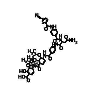 CC(C)Oc1c(NC(=O)c2ccc(NC(=O)c3ccc(NC(=O)C(CC(N)=O)NC(=O)c4ccc(NC(=O)c5ccc(C#N)s5)cc4)cc3)c(OC(C)C)c2O)ccc(C(=O)O)c1O